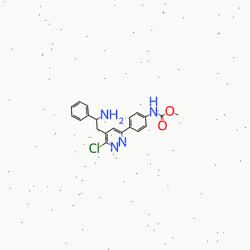 COC(=O)Nc1ccc(-c2cc(CC(N)c3ccccc3)c(Cl)nn2)cc1